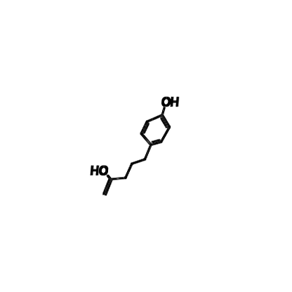 C=C(O)CCCc1ccc(O)cc1